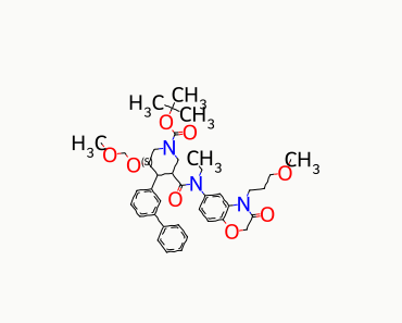 CCN(C(=O)C1CN(C(=O)OC(C)(C)C)C[C@@H](OCOC)C1c1cccc(-c2ccccc2)c1)c1ccc2c(c1)N(CCCOC)C(=O)CO2